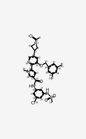 CC(=O)N1CC(c2cnc(-c3cc(C(=O)Nc4cc(Cl)cc(NS(C)(=O)=O)c4)cn3C)c(OCc3cc(F)cc(F)c3)c2)C1